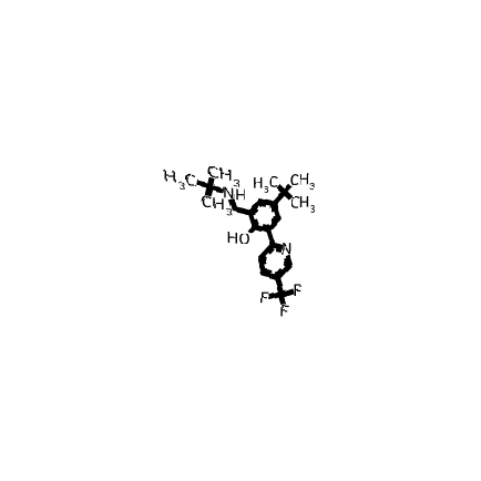 CC(C)(C)NCc1cc(C(C)(C)C)cc(-c2ccc(C(F)(F)F)cn2)c1O